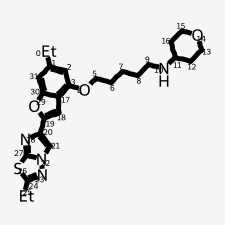 CCc1cc(OCCCCCNC2CCOCC2)c2cc(-c3cn4nc(CC)sc4n3)oc2c1